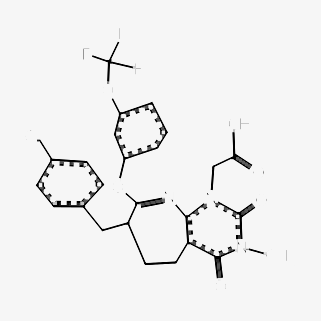 CC(=O)Cn1c2c(c(=O)n(C)c1=O)CCC(Cc1ccc(Cl)cc1)C(Oc1cccc(OC(F)(F)F)c1)=N2